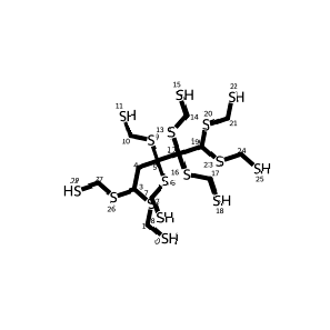 SCSC(CC(SCS)(SCS)C(SCS)(SCS)C(SCS)SCS)SCS